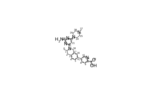 CC1Cc2ccc(-c3ccc(C(=O)O)nc3)cc2CN1c1cc(N2CCN(C)CC2)nc(N)n1